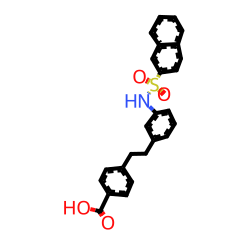 O=C(O)c1ccc(CCc2cccc(NS(=O)(=O)c3ccc4ccccc4c3)c2)cc1